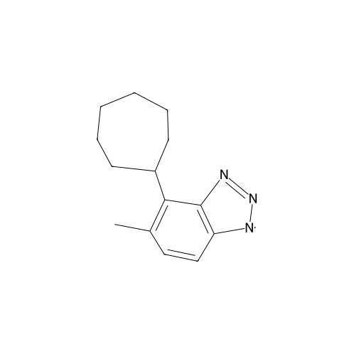 Cc1ccc2c(c1C1CCCCCC1)N=N[N]2